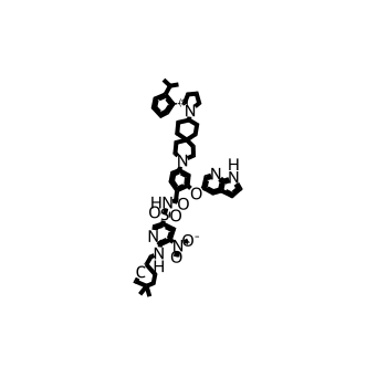 CC(C)c1ccccc1[C@@H]1CCCN1C1CCC2(CC1)CCN(c1ccc(C(=O)NS(=O)(=O)c3cnc(NCC4CCC(C)(C)CC4)c([N+](=O)[O-])c3)c(Oc3cnc4[nH]ccc4c3)c1)CC2